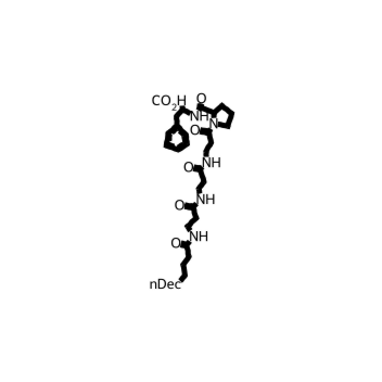 CCCCCCCCCCCCCC(=O)NCCC(=O)NCCC(=O)NCCC(=O)N1CCCC1C(=O)NC(Cc1ccccc1)C(=O)O